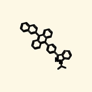 CC(C)n1nc(-c2ccc(-c3c4ccccc4c(-c4ccc5ccccc5c4)c4ccccc34)cc2)c2ccccc21